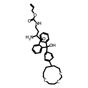 C=CCOC(=O)NCCC(N)C(=O)c1ccccc1C(O)(c1ccccc1)c1ccc(C2CCCCCCCCCCC2)cc1